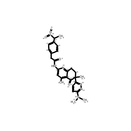 Cc1cc(NC(=O)Cc2ccc(C(C)[SH](=O)=O)cc2)nc2c1C(=O)C(C)(c1ccc(N(C)C)nn1)CC2